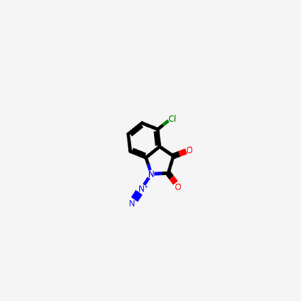 N#[N+]N1C(=O)C(=O)c2c(Cl)cccc21